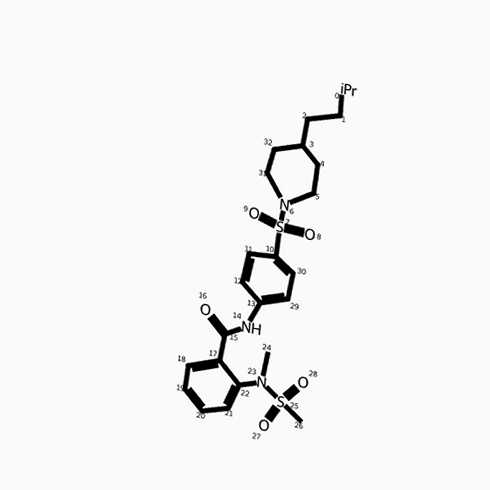 CC(C)CCC1CCN(S(=O)(=O)c2ccc(NC(=O)c3ccccc3N(C)S(C)(=O)=O)cc2)CC1